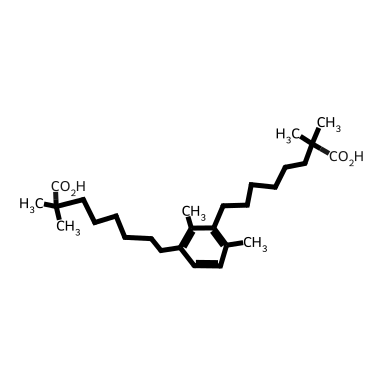 Cc1ccc(CCCCCCC(C)(C)C(=O)O)c(C)c1CCCCCCC(C)(C)C(=O)O